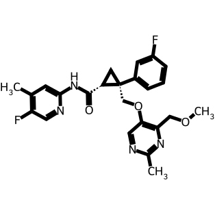 COCc1nc(C)ncc1OC[C@@]1(c2cccc(F)c2)C[C@H]1C(=O)Nc1cc(C)c(F)cn1